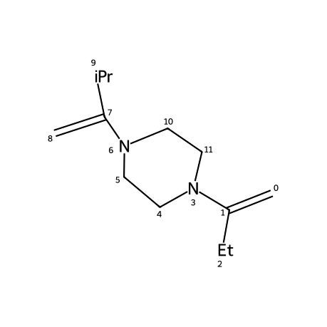 C=C(CC)N1CCN(C(=C)C(C)C)CC1